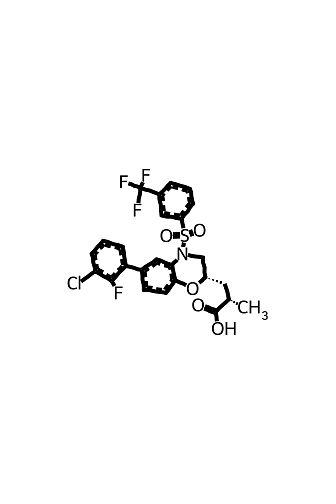 C[C@@H](C[C@H]1CN(S(=O)(=O)c2cccc(C(F)(F)F)c2)c2cc(-c3cccc(Cl)c3F)ccc2O1)C(=O)O